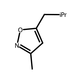 Cc1cc(CC(C)C)on1